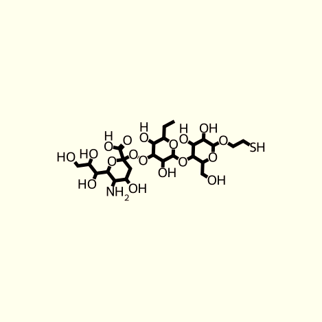 CCC1OC(OC2C(CO)OC(OCCS)C(O)C2O)C(O)C(OOC2(C(=O)O)CC(O)C(N)C(C(O)C(O)CO)O2)C1O